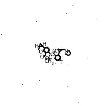 COC(=O)c1c(N[S+]([O-])c2ccc(F)cc2C2CC2CN2CCCC2)ccc2c1OC[C@@H]1C[C@H]21